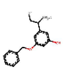 CCOC(=O)C(CC(C)C)c1cc(O)cc(OCc2ccccc2)c1